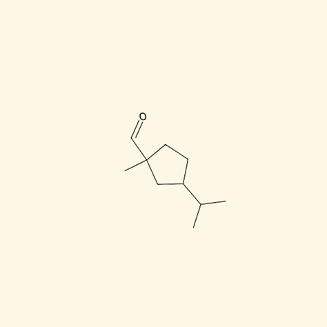 CC(C)C1CCC(C)(C=O)C1